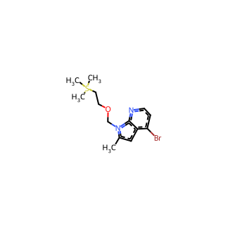 Cc1cc2c(Br)ccnc2n1COCCS(C)(C)C